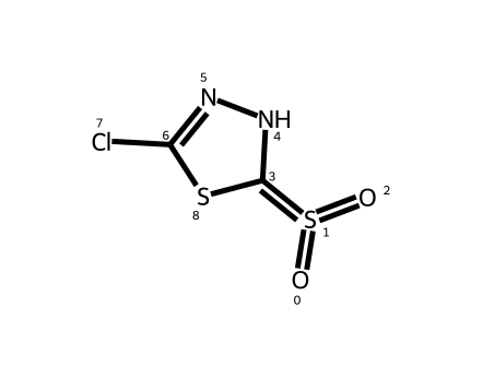 O=S(=O)=c1[nH]nc(Cl)s1